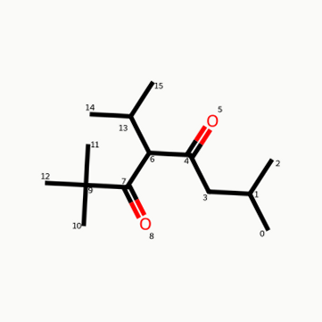 CC(C)CC(=O)C(C(=O)C(C)(C)C)C(C)C